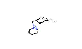 C=C/C=C\C(=C/C)C[n+]1ccccc1